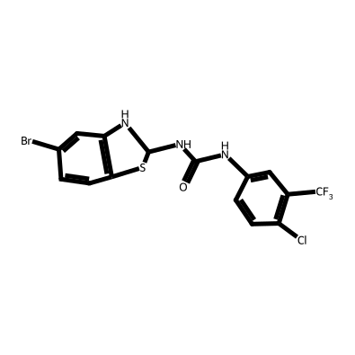 O=C(Nc1ccc(Cl)c(C(F)(F)F)c1)NC1Nc2cc(Br)ccc2S1